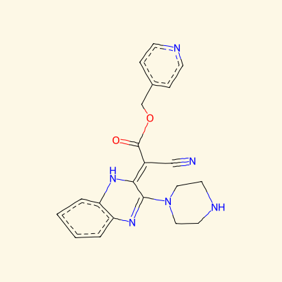 N#CC(C(=O)OCc1ccncc1)=C1Nc2ccccc2N=C1N1CCNCC1